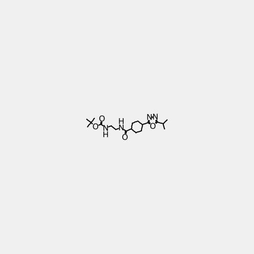 CC(C)c1nnc(C2CCC(C(=O)NCCNC(=O)OC(C)(C)C)CC2)o1